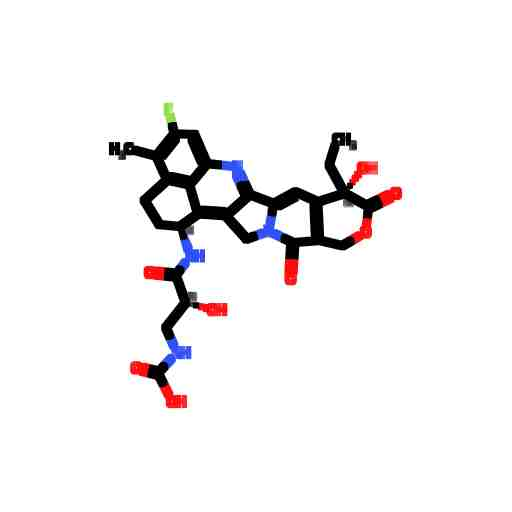 CC[C@@]1(O)C(=O)OCc2c1cc1n(c2=O)Cc2c-1nc1cc(F)c(C)c3c1c2[C@@H](NC(=O)[C@H](O)CNC(=O)O)CC3